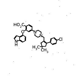 CC1(C)CC(CN2CCN(c3ccc(C(=O)O)c(Oc4cccc5[nH]ccc45)c3)CC2)=C(c2ccc(Cl)cc2)C1